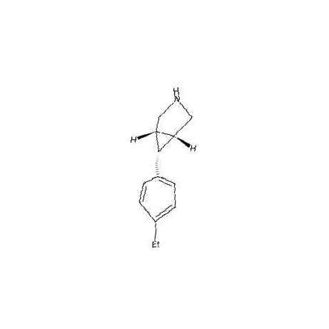 CCc1ccc([C@@H]2[C@@H]3CNC[C@@H]32)cc1